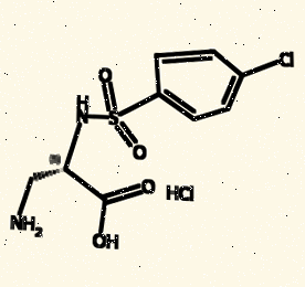 Cl.NC[C@H](NS(=O)(=O)c1ccc(Cl)cc1)C(=O)O